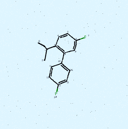 CC(C)c1ccc(F)cc1-c1ccc(F)cc1